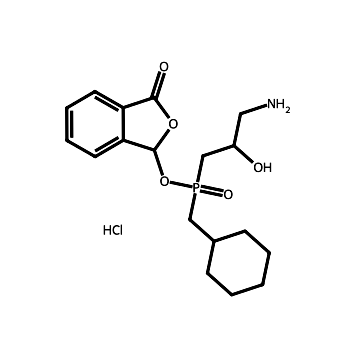 Cl.NCC(O)CP(=O)(CC1CCCCC1)OC1OC(=O)c2ccccc21